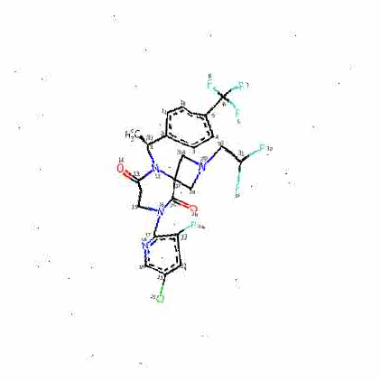 C[C@@H](c1ccc(C(F)(F)F)cc1)N1C(=O)CN(c2ncc(Cl)cc2F)C(=O)C12CN(CC(F)F)C2